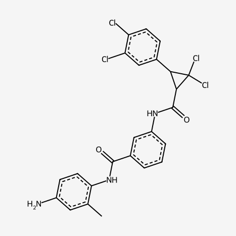 Cc1cc(N)ccc1NC(=O)c1cccc(NC(=O)C2C(c3ccc(Cl)c(Cl)c3)C2(Cl)Cl)c1